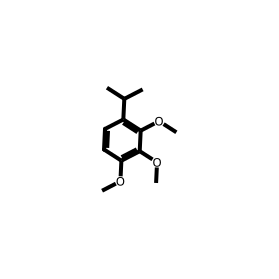 COc1ccc(C(C)C)c(OC)c1OC